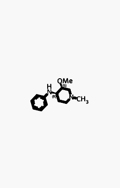 CO[C@H]1CN(C)CC[C@H]1Nc1ccccc1